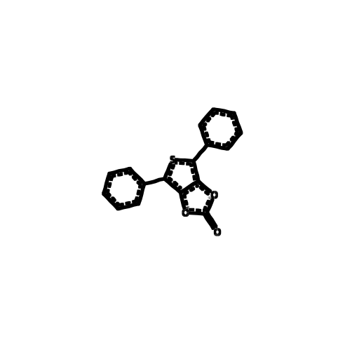 O=c1oc2c(-c3ccccc3)sc(-c3ccccc3)c2o1